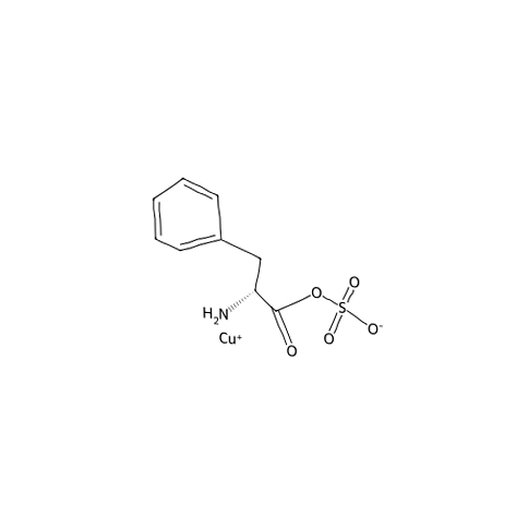 N[C@H](Cc1ccccc1)C(=O)OS(=O)(=O)[O-].[Cu+]